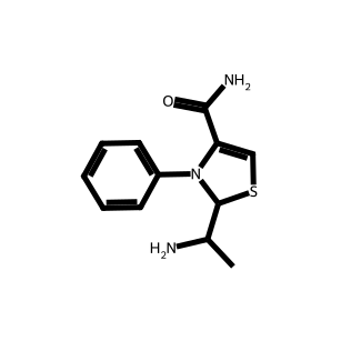 CC(N)C1SC=C(C(N)=O)N1c1ccccc1